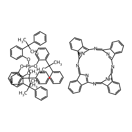 CC(C)(c1ccccc1)c1ccccc1[O][Pb]([O]c1ccccc1C(C)(C)c1ccccc1)([O]c1ccccc1C(C)(C)c1ccccc1)[O]c1ccccc1C(C)(C)c1ccccc1.c1ccc2c(c1)-c1nc-2nc2[nH]c(nc3nc(nc4[nH]c(n1)c1ccccc41)-c1ccccc1-3)c1ccccc21